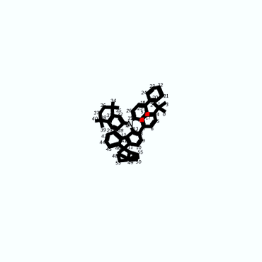 CC(C)(C)c1ccc(-c2ccc3c(c2N(c2ccc(-c4ccccc4)cc2)c2ccc4c(c2)C(C)(C)CCC4(C)C)-c2ccccc2C32C3CC4CC(C3)C2C4)cc1